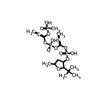 C=C=C(OP(C)(=O)O)OP(=O)(O)OC(=C=C)OP(=O)(O)OC1CC(C)OC1C(C)(C)C